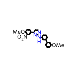 COc1cccc(-c2cccc(Nc3nccc(-c4ccc(OC)c([N+](=O)[O-])c4)n3)c2)c1